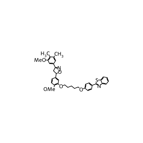 COc1ccc(C2CC(c3cc(C)c(C)c(OC)c3)=NO2)cc1OCCCCCOc1ccc(-c2nc3ccccc3s2)cc1